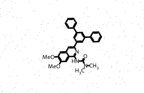 COc1cc2cc(-c3cc(-c4ccccc4)cc(-c4ccccc4)c3)nc(NC(=O)N(C)C)c2cc1OC